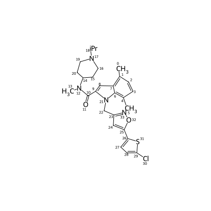 Cc1ccc(C)c2c1cc(C(=O)N(C)C1CCN(C(C)C)CC1)n2Cc1cc(-c2ccc(Cl)s2)on1